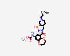 COCCN1CC[C@@H](CNC(=O)c2cc(N(C)C(=O)OC(C)(C)C)cc3c2OCCCO3)C(O)C1